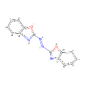 c1ccc2oc(N=Nc3nc4ccccc4o3)nc2c1